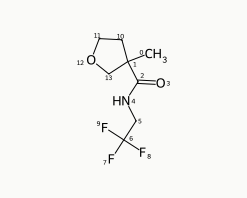 CC1(C(=O)NCC(F)(F)F)CCOC1